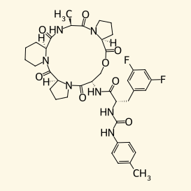 Cc1ccc(NC(=O)N[C@@H](Cc2cc(F)cc(F)c2)C(=O)N[C@H]2COC(=O)[C@@H]3CCCN3C(=O)[C@H](C)NC(=O)[C@@H]3CCCCN3C(=O)[C@@H]3CCCN3C2=O)cc1